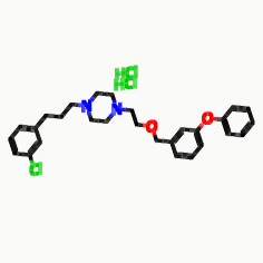 Cl.Cl.Clc1cccc(CCCN2CCN(CCOCc3cccc(Oc4ccccc4)c3)CC2)c1